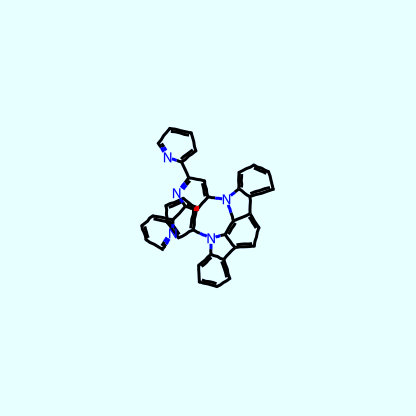 c1ccc(-n2c3ccccc3c3ccc4c5ccccc5n(-c5cc(-c6ccccn6)nc(-c6ccccn6)c5)c4c32)cc1